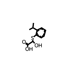 CC(C)c1ccccc1SC(O)C(=O)O